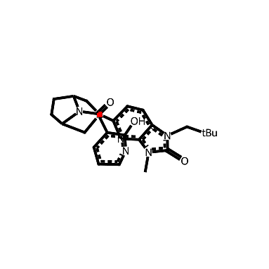 Cn1c(=O)n(CC(C)(C)C)c2ccc(N3CC4CCC(C3)N4C(=O)c3cccnc3O)nc21